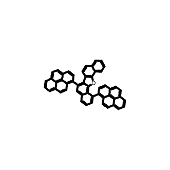 c1ccc2c(c1)ccc1c2oc2c3c(-c4ccc5ccc6cccc7ccc4c5c67)cccc3cc(-c3ccc4ccc5cccc6ccc3c4c56)c12